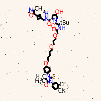 Cc1ncoc1C12CC(CNC(=O)[C@@H]3C[C@@H](O)CN3C(=O)C(NC(=O)COCCCOCCCCCOc3ccc(N4C(=S)N(c5ccc(C#N)c(C(F)(F)F)c5)C(=O)C4(C)C)cc3)C(C)(C)C)(C1)C2